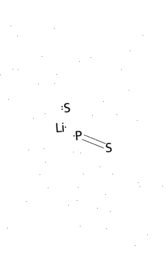 [Li].[P]=S.[S]